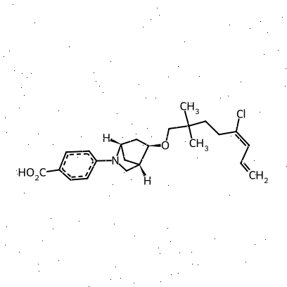 C=C/C=C(/Cl)CCC(C)(C)CO[C@@H]1C[C@@H]2C[C@H]1CN2c1ccc(C(=O)O)cc1